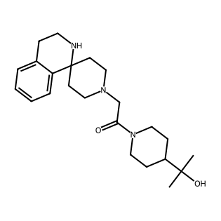 CC(C)(O)C1CCN(C(=O)CN2CCC3(CC2)NCCc2ccccc23)CC1